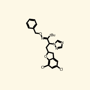 CC(C)(C)C(=NOCc1ccccc1)C(CC1Cc2cc(Cl)cc(Cl)c2O1)n1cncn1